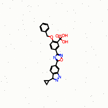 OC(O)(O)c1cc(-c2noc(-c3ccc4c(c3)N=NC4C3CC3)n2)ccc1OCc1ccccc1